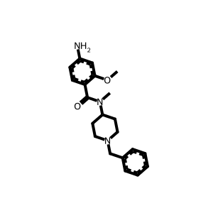 COc1cc(N)ccc1C(=O)N(C)C1CCN(Cc2ccccc2)CC1